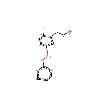 N#CCCc1cc(OCc2ccccc2)ccc1Br